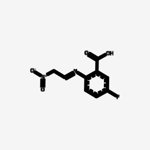 O=C(O)c1cc(F)ccc1N=CC[N+](=O)[O-]